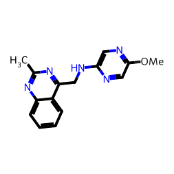 COc1cnc(NCc2nc(C)nc3ccccc23)cn1